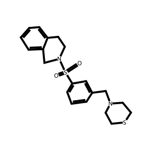 O=S(=O)(c1cccc(CN2CCSCC2)c1)N1CCc2ccccc2C1